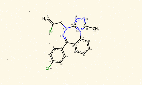 C=C(Br)CN1N=C(c2ccc(Cl)cc2)c2ccccc2-n2c(C)nnc21